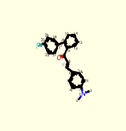 CN(C)c1ccc(/C=C/C(=O)c2ccccc2-c2ccc(F)cc2)cc1